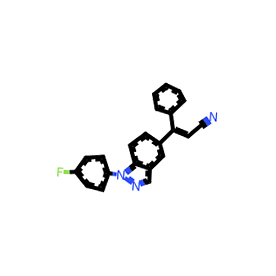 N#CC=C(c1ccccc1)c1ccc2c(cnn2-c2ccc(F)cc2)c1